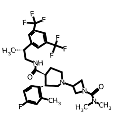 Cc1cc(F)ccc1[C@H]1CN(C2CN(C(=O)N(C)C)C2)CC[C@@H]1C(=O)NC[C@H](C)c1cc(C(F)(F)F)cc(C(F)(F)F)c1